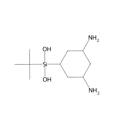 CC(C)(C)[Si](O)(O)C1CC(N)CC(N)C1